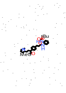 COC(=O)C(CCC1CCCN1C)c1ccc(C=CC(=O)Nc2ccccc2NC(=O)OC(C)(C)C)cc1